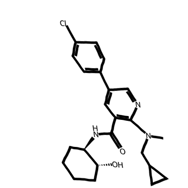 CN(CC1CC1)c1ncc(-c2ccc(Cl)cc2)cc1C(=O)N[C@@H]1CCCC[C@H]1O